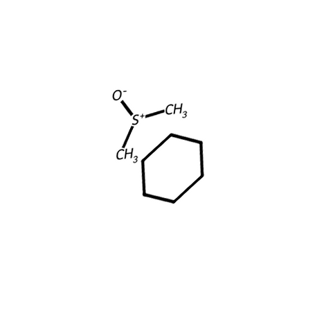 C1CCCCC1.C[S+](C)[O-]